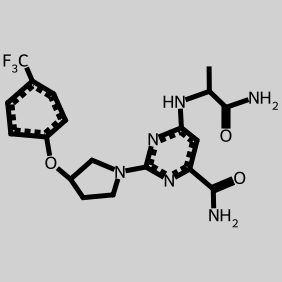 CC(Nc1cc(C(N)=O)nc(N2CCC(Oc3ccc(C(F)(F)F)cc3)C2)n1)C(N)=O